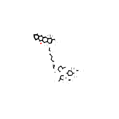 C[C@@H]1O[C@@H](OC2[C@@H](NC(=N)N)C(O)C(NC(=N)N)[C@H](O)[C@@H]2O)C(O[C@@H]2OC(CO)[C@H](O)C(O)[C@H]2N(C)CCNC(=O)CCC(=O)NCCN[C@@H]2C(O)=C(C(N)=O)C(=O)[C@@]3(O)C(O)=C4C(=O)c5c(O)cccc5[C@@](C)(O)[C@H]4C[C@@H]23)[C@]1(O)CO